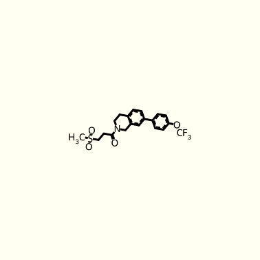 CS(=O)(=O)CCC(=O)N1CCc2ccc(-c3ccc(OC(F)(F)F)cc3)cc2C1